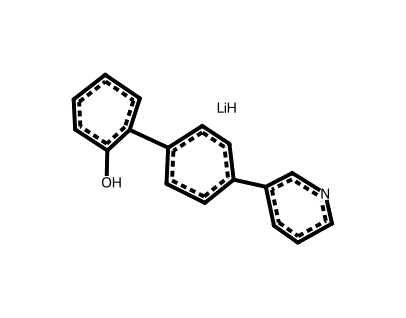 Oc1ccccc1-c1ccc(-c2cccnc2)cc1.[LiH]